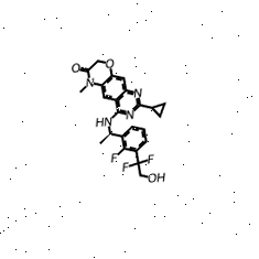 C[C@@H](Nc1nc(C2CC2)nc2cc3c(cc12)N(C)C(=O)CO3)c1cccc(C(F)(F)CO)c1F